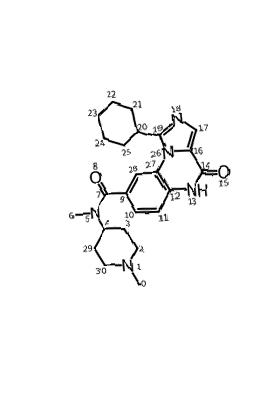 CN1CCC(N(C)C(=O)c2ccc3[nH]c(=O)c4cnc(C5CCCCC5)n4c3c2)CC1